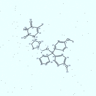 COc1ccc(C(OC[C@@H]2CC[C@H](n3cc(C)c(=O)[nH]c3=O)O2)(c2ccccc2)c2ccc(OC)cc2)cc1